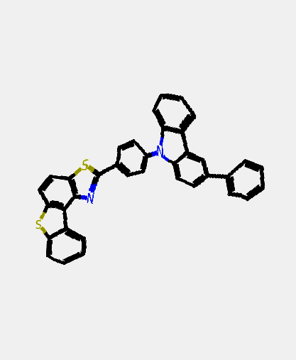 c1ccc(-c2ccc3c(c2)c2ccccc2n3-c2ccc(-c3nc4c(ccc5sc6ccccc6c54)s3)cc2)cc1